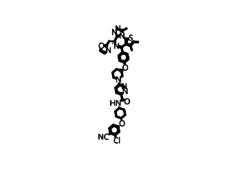 Cc1sc2c(c1C)C(c1ccc(O[C@@H]3CCCN(c4ccc(C(=O)N[C@H]5CC[C@H](Oc6ccc(C#N)c(Cl)c6)CC5)nn4)C3)cc1)=N[C@@H](Cc1ncco1)c1nnc(C)n1-2